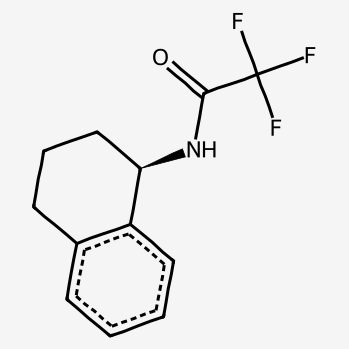 O=C(N[C@@H]1CCCc2ccccc21)C(F)(F)F